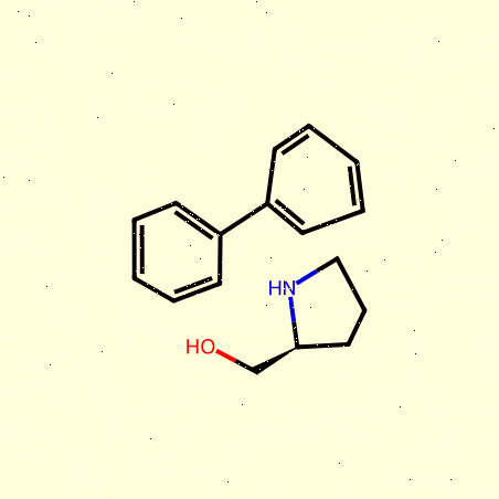 OC[C@@H]1CCCN1.c1ccc(-c2ccccc2)cc1